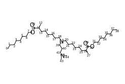 CCCCCCCCOC(=O)C(C)CCCCCCN(CCCCCCC(C)C(=O)OCCCCCCCC)CCCN(C)C